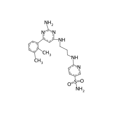 Cc1cccc(-c2cc(NCCCNc3ccc(S(N)(=O)=O)cn3)nc(N)n2)c1C